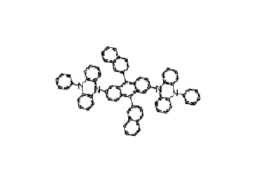 c1ccc(N2c3ccccc3N(c3ccc4c(-c5ccc6ccccc6c5)c5cc(N6c7ccccc7N(c7ccccc7)c7ccccc76)ccc5c(-c5ccc6ccccc6c5)c4c3)c3ccccc32)cc1